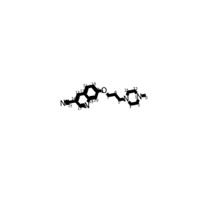 CN1CCN(CCCOc2ccc3cc(C#N)cnc3c2)CC1